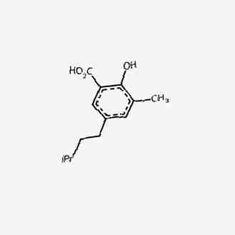 Cc1cc(CCC(C)C)cc(C(=O)O)c1O